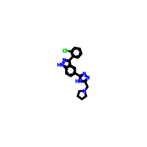 Clc1ccccc1-c1n[nH]c2ccc(-c3nnc(CN4CCCC4)[nH]3)cc12